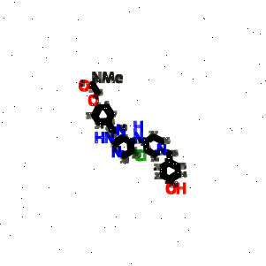 CNC(=O)COc1ccc(-c2nc3c(NC4CCN(Cc5ccc(O)cc5)CC4)c(Cl)cnc3[nH]2)cc1